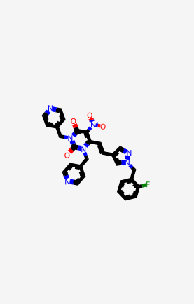 O=c1c([N+](=O)[O-])c(/C=C/c2cnn(Cc3ccccc3F)c2)n(Cc2ccncc2)c(=O)n1Cc1ccncc1